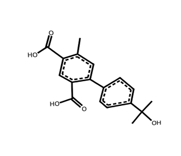 Cc1cc(-c2ccc(C(C)(C)O)cc2)c(C(=O)O)cc1C(=O)O